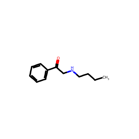 CCCCNCC(=O)c1ccccc1